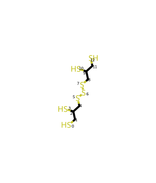 SCC(S)CSSSCC(S)CS